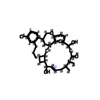 CCCc1cc(Cl)ccc1C1COc2ccc3cc2N(C1)CC1CCC1C(O)/C=C/CC(C)N(C)C(=O)CC3O